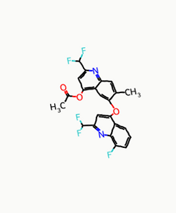 CC(=O)Oc1cc(C(F)F)nc2cc(C)c(Oc3cc(C(F)F)nc4c(F)cccc34)cc12